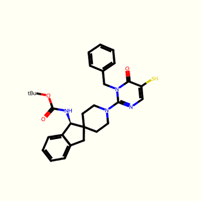 CC(C)(C)OC(=O)N[C@@H]1c2ccccc2CC12CCN(c1ncc(S)c(=O)n1Cc1ccccc1)CC2